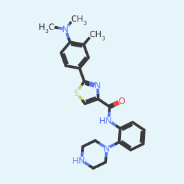 Cc1cc(-c2nc(C(=O)Nc3ccccc3N3CCNCC3)cs2)ccc1N(C)C